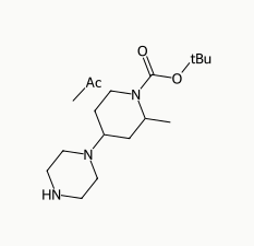 CC(C)=O.CC1CC(N2CCNCC2)CCN1C(=O)OC(C)(C)C